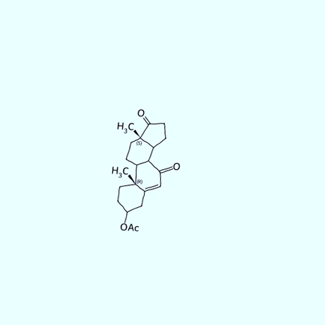 CC(=O)OC1CC[C@@]2(C)C(=CC(=O)C3C2CC[C@]2(C)C(=O)CCC32)C1